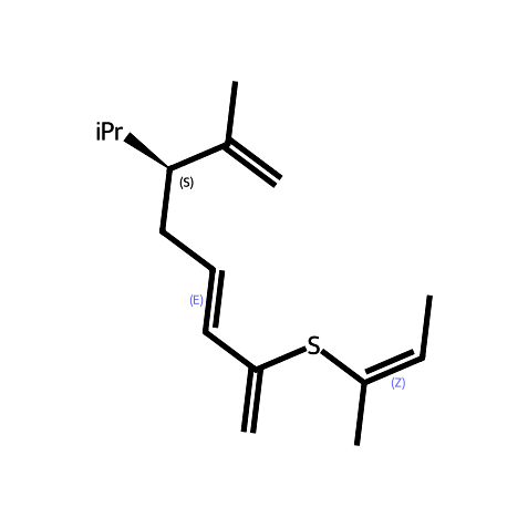 C=C(/C=C/C[C@H](C(=C)C)C(C)C)S/C(C)=C\C